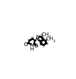 Cc1cccc2c1c(C)nn2C1C=CC(=O)NC1=O